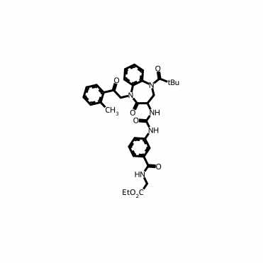 CCOC(=O)CNC(=O)c1cccc(NC(=O)NC2CN(C(=O)C(C)(C)C)c3ccccc3N(CC(=O)c3ccccc3C)C2=O)c1